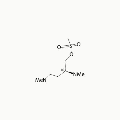 CNCC[C@@H](COS(C)(=O)=O)NC